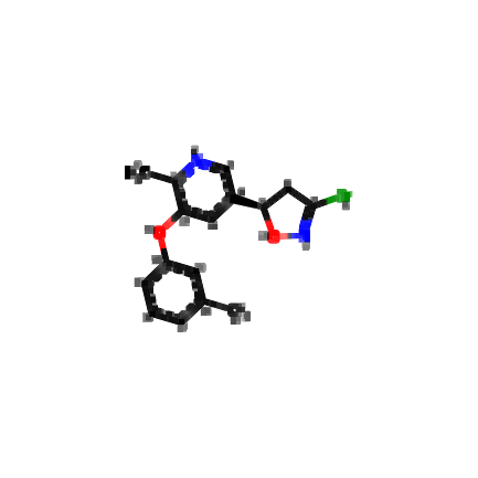 Cc1ncc([C@H]2CC(Br)=NO2)cc1Oc1cccc(C(F)(F)F)c1